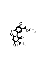 COC(=O)c1cc(-n2c(=O)cc(C)n(C)c2=O)c(F)cc1Cl